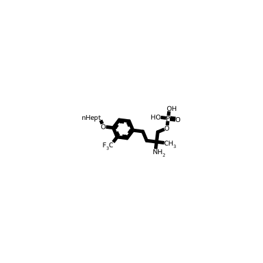 CCCCCCCOc1ccc(CCC(C)(N)COP(=O)(O)O)cc1C(F)(F)F